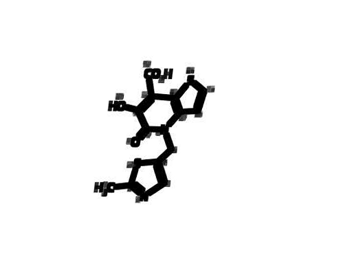 Cc1ncc(Cn2c(=O)c(O)c(C(=O)O)c3sccc32)s1